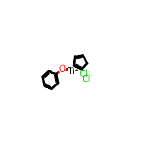 C1=CCC=C1.[Cl-].[Cl-].[Ti+2][O]c1ccccc1